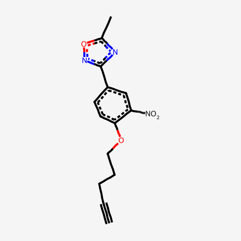 C#CCCCOc1ccc(-c2noc(C)n2)cc1[N+](=O)[O-]